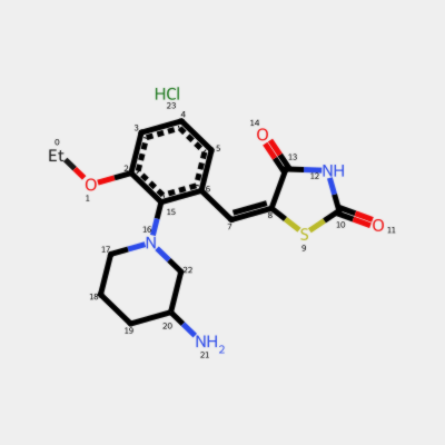 CCOc1cccc(/C=C2/SC(=O)NC2=O)c1N1CCCC(N)C1.Cl